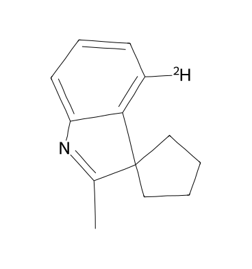 [2H]c1cccc2c1C1(CCCC1)C(C)=N2